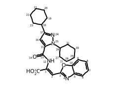 O=C(O)C(=Cc1nc2ccccc2o1)NC(=O)c1cc(C2CCCCC2)nn1C1CCCCC1